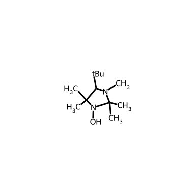 CN1C(C(C)(C)C)C(C)(C)N(O)C1(C)C